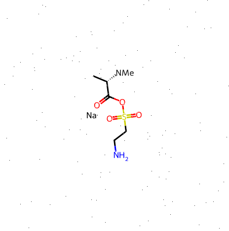 CN[C@@H](C)C(=O)OS(=O)(=O)CCN.[Na]